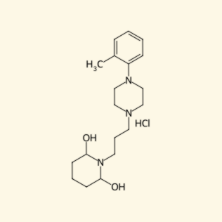 Cc1ccccc1N1CCN(CCCN2C(O)CCCC2O)CC1.Cl